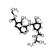 CCOC(=O)c1cc2cnnc(Nc3cc(C(=O)NC(C)C)ccc3C)n2c1C